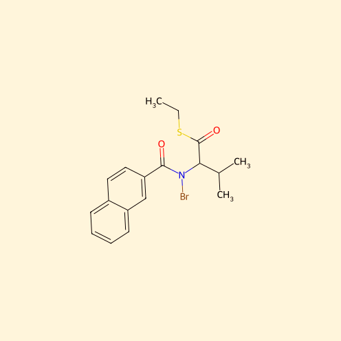 CCSC(=O)C(C(C)C)N(Br)C(=O)c1ccc2ccccc2c1